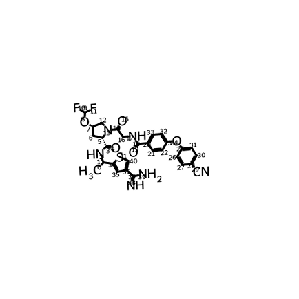 CC(NC(=O)[C@@H]1C[C@@H](OC(F)F)CN1C(=O)CNC(=O)c1ccc(Oc2ccc(C#N)cc2)cc1)c1cc(C(=N)N)cs1